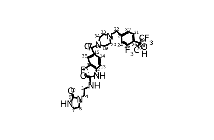 O=C(NCCN1CCNC1=O)Nc1ccc(C(=O)N2CCN(Cc3ccc(C(O)(C(F)(F)F)C(F)(F)F)cc3)CC2)cc1F